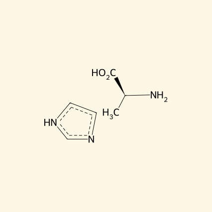 C[C@H](N)C(=O)O.c1c[nH]cn1